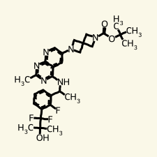 Cc1nc(NC(C)c2cccc(C(F)(F)C(C)(C)O)c2F)c2cc(N3CC4(CN(C(=O)OC(C)(C)C)C4)C3)cnc2n1